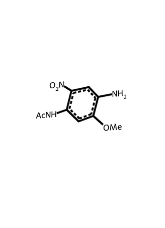 COc1cc(NC(C)=O)c([N+](=O)[O-])cc1N